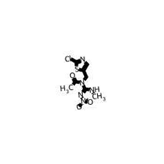 CN/C(=N\[N+](=O)[O-])N(Cc1cnc(Cl)s1)C(C)=O